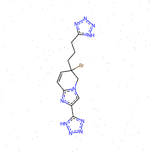 BrC1(CCCc2nnn[nH]2)C=Cc2nc(-c3nnn[nH]3)cn2C1